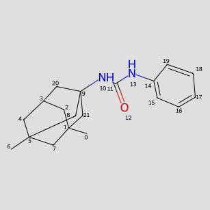 CC12CC3CC(C)(C1)CC(NC(=O)Nc1ccccc1)(C3)C2